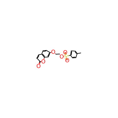 Cc1ccc(S(=O)(=O)OCCOc2ccc3ccc(=O)oc3c2)cc1